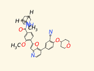 COc1cc(C(=O)N[C@H]2[C@@H]3C[C@H]2CN(C)C3)ccc1-c1cc2nccc(-c3ccc(OC4CCOCC4)c(C#N)c3)c2o1